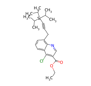 CCOC(=O)c1cnc2c(CC#C[Si](C(C)C)(C(C)C)C(C)C)cccc2c1Cl